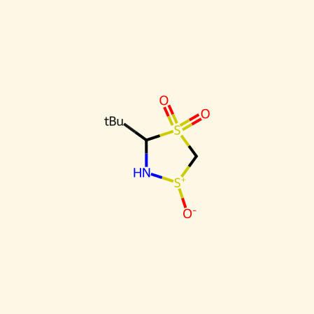 CC(C)(C)C1N[S+]([O-])CS1(=O)=O